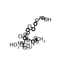 CC(CO)(NCc1cc(Cl)c(O[C@H]2CCc3c(-c4cccc(-c5ccc(OCCN6CC[C@@H](O)C6)cc5)c4Cl)cccc32)nc1OCc1cncc(S(C)(=O)=O)c1)C(=O)O